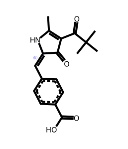 CC1=C(C(=O)C(C)(C)C)C(=O)/C(=C\c2ccc(C(=O)O)cc2)N1